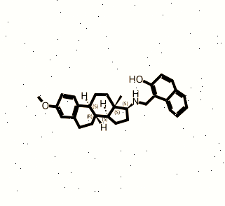 COc1ccc2c(c1)CC[C@@H]1[C@@H]2CC[C@]2(C)[C@@H](NCc3c(O)ccc4ccccc34)CC[C@@H]12